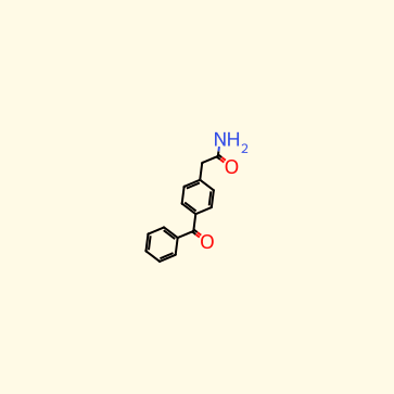 NC(=O)Cc1ccc(C(=O)c2ccccc2)cc1